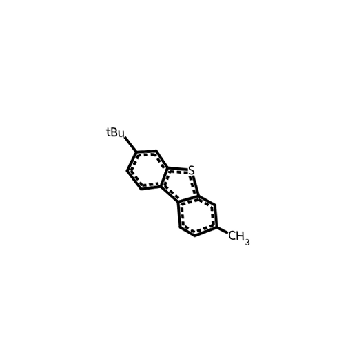 Cc1ccc2c(c1)sc1cc(C(C)(C)C)ccc12